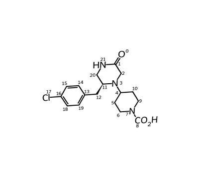 O=C1CN(C2CCN(C(=O)O)CC2)[C@@H](Cc2ccc(Cl)cc2)CN1